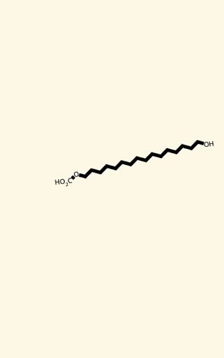 O=C(O)OCCCCCCCCCCCCCCCCO